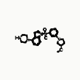 CO[C@H]1CCN(c2cccc(S(=O)(=O)n3ccc4c(N5CCNCC5)cccc43)c2)C1